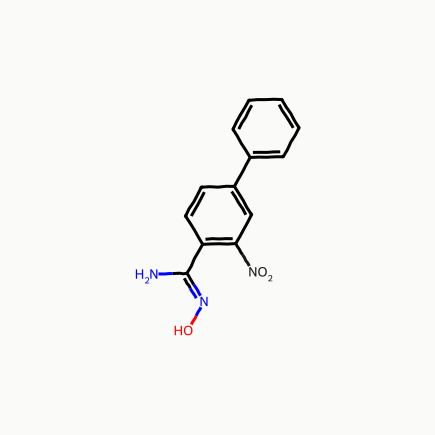 NC(=NO)c1ccc(-c2ccccc2)cc1[N+](=O)[O-]